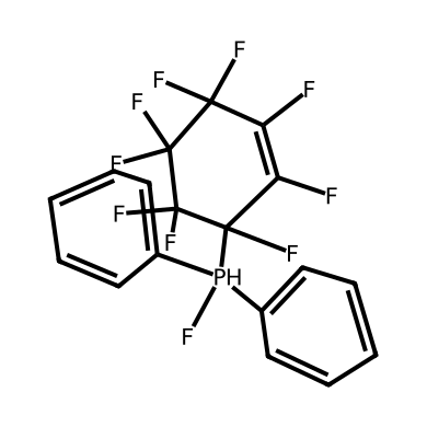 FC1=C(F)C(F)([PH](F)(c2ccccc2)c2ccccc2)C(F)(F)C(F)(F)C1(F)F